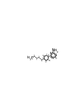 CCCCCc1ccc(-c2ncnc(N)n2)cc1